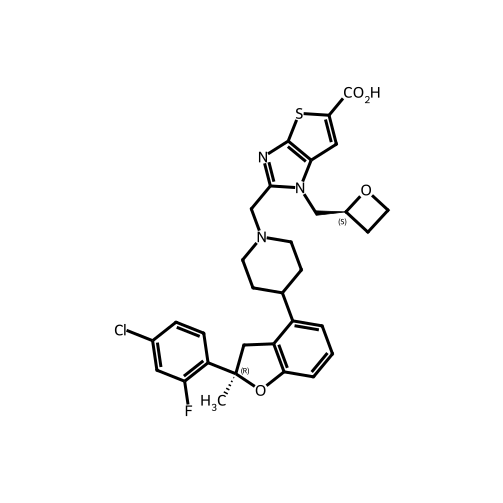 C[C@]1(c2ccc(Cl)cc2F)Cc2c(cccc2C2CCN(Cc3nc4sc(C(=O)O)cc4n3C[C@@H]3CCO3)CC2)O1